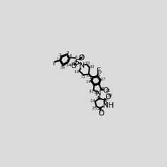 Cc1ccc(CS(=O)(=O)N2CCC(c3cc4c(cc3F)C(=O)N(C3CCC(=O)NC3=O)C4)CC2)cc1